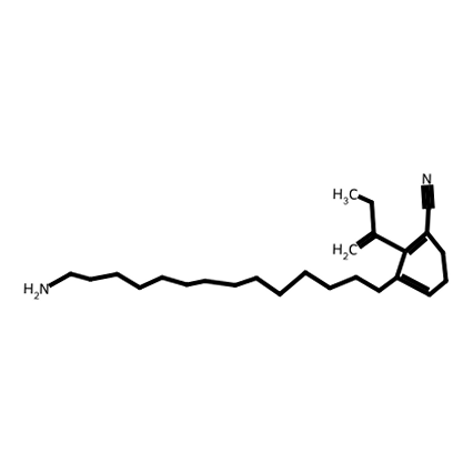 C=C(CC)C1=C(C#N)CCC=C1CCCCCCCCCCCCCCN